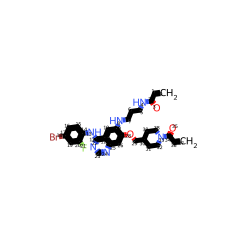 C=CC(=O)NCCCNc1cc2c(Nc3ccc(Br)cc3F)ncnc2cc1OCC1CCN(C(=O)C=C)CC1